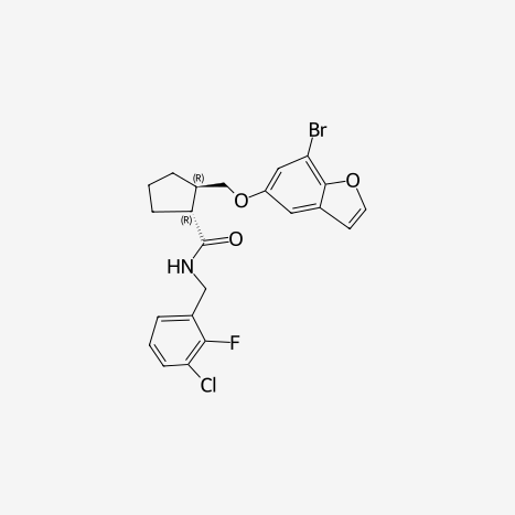 O=C(NCc1cccc(Cl)c1F)[C@@H]1CCC[C@H]1COc1cc(Br)c2occc2c1